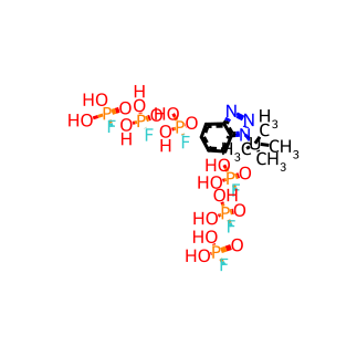 O=P(O)(O)F.O=P(O)(O)F.O=P(O)(O)F.O=P(O)(O)F.O=P(O)(O)F.O=P(O)(O)F.[CH3][U]([CH3])([CH3])([CH3])[n]1nnc2ccccc21